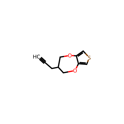 C#CCC1COc2cscc2OC1